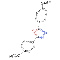 CSc1ccc(-c2nnc(-c3ccc(C(=O)O)cc3)o2)cc1